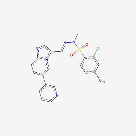 CN(N=Cc1cnc2ccc(-c3cccnc3)cn12)S(=O)(=O)c1ccc(C(F)(F)F)cc1Cl